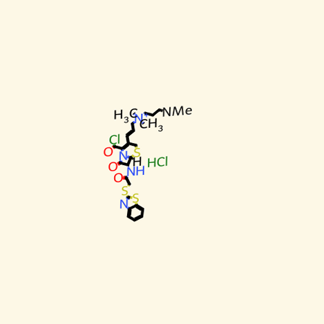 CNCCC[N+](C)(C)C/C=C/C1=C(C(=O)Cl)N2C(=O)[C@@H](NC(=O)CSc3nc4ccccc4s3)[C@H]2SC1.Cl